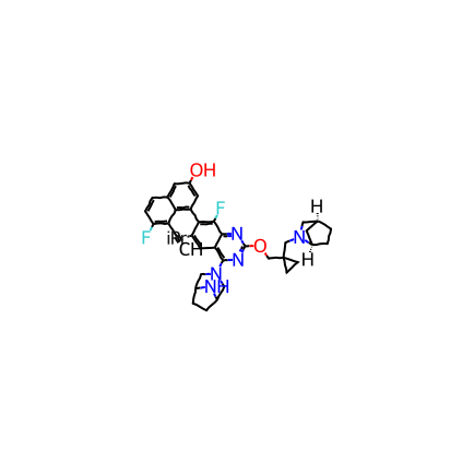 C#Cc1c(F)ccc2cc(O)cc(-c3c(C(C)C)cc4c(N5CC6CCC(C5)N6)nc(OCC5(CN6C[C@H]7CC[C@@H]6C7)CC5)nc4c3F)c12